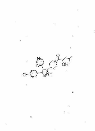 CC(C)CC(O)C(=O)N1CCC(c2[nH]nc(-c3ccc(Cl)cc3)c2-c2ccncn2)CC1